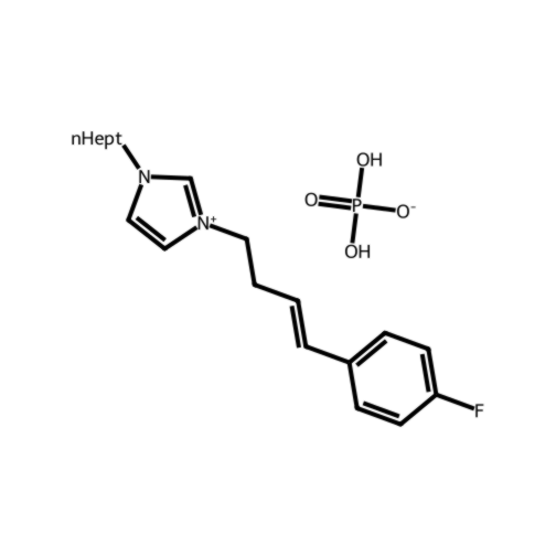 CCCCCCCn1cc[n+](CCC=Cc2ccc(F)cc2)c1.O=P([O-])(O)O